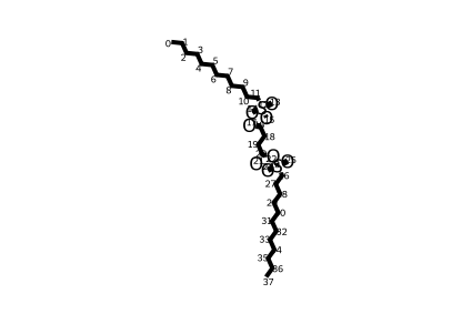 CCCCCCCCCCCCS(=O)(=O)OC(=O)CCC(=O)OS(=O)(=O)CCCCCCCCCCCC